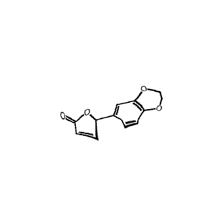 O=C1C=CC(c2ccc3c(c2)OCO3)O1